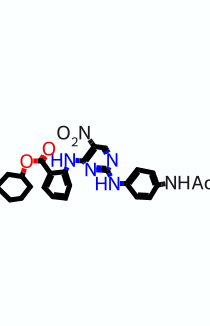 CC(=O)Nc1ccc(Nc2ncc([N+](=O)[O-])c(Nc3ccccc3C(=O)OC3CCCCC3)n2)cc1